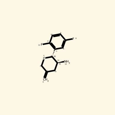 C=C1CO[C@H](c2cc(F)ccc2F)[C@@H](N)C1